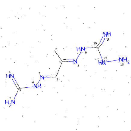 CC(/C=N/NC(=N)N)=N\NC(=N)NN